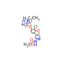 COC(=O)Nc1cc2c(cn1)COc1c-2ccc(OC[C@@](C)(N)CC(C)C)c1Cl